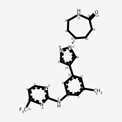 Cc1cc(Nc2nccc(C(F)(F)F)n2)cc(-c2cnn([C@@H]3CCNC(=O)CC3)c2)c1